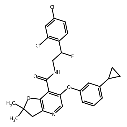 CC1(C)Cc2ncc(Oc3cccc(C4CC4)c3)c(C(=O)NCC(F)c3ccc(Cl)cc3Cl)c2O1